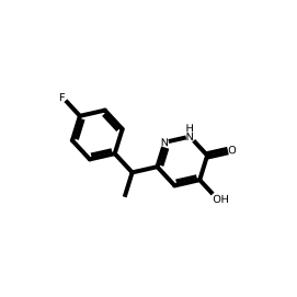 CC(c1ccc(F)cc1)c1cc(O)c(=O)[nH]n1